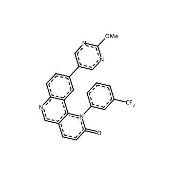 COc1ncc(-c2ccc3ncc4ccc(=O)n(-c5cccc(C(F)(F)F)c5)c4c3c2)cn1